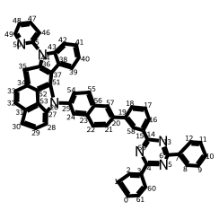 c1ccc(-c2nc(-c3ccccc3)nc(-c3cccc(-c4ccc5cc(-n6c7cccc8ccc9cc%10c(c%11ccccc%11n%10-c%10ccccn%10)c6c9c87)ccc5c4)c3)n2)cc1